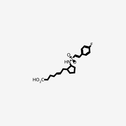 O=C(O)CCC/C=C/CC1CCCC1NS(=O)(=O)/C=C/c1ccc(F)cc1